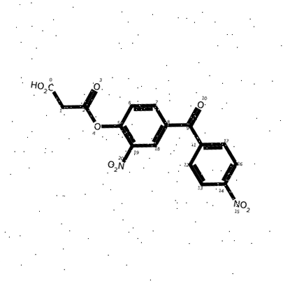 O=C(O)CC(=O)Oc1ccc(C(=O)c2ccc([N+](=O)[O-])cc2)cc1[N+](=O)[O-]